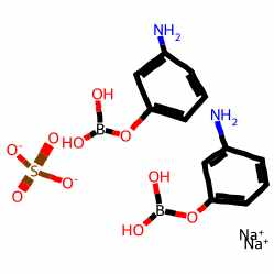 Nc1cccc(OB(O)O)c1.Nc1cccc(OB(O)O)c1.O=S(=O)([O-])[O-].[Na+].[Na+]